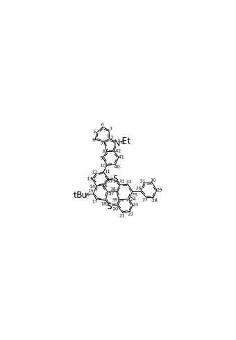 CCn1c2ccccc2c2cc(-c3ccc4c(C(C)(C)C)cc5sc6cccc7c(-c8ccccc8)cc8sc3c4c5-c8c67)ccc21